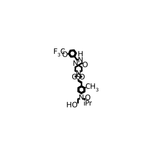 Cc1cc(N(CCO)C(=O)C(C)C)ccc1/C=C/S(=O)(=O)N1CCC2(CC1)N=C(c1cccc(OC(F)(F)F)c1)NC2=O